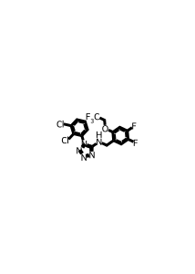 Fc1cc(CNc2nnnn2-c2cccc(Cl)c2Cl)c(OCC(F)(F)F)cc1F